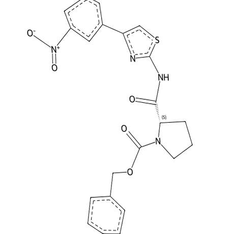 O=C(Nc1nc(-c2cccc([N+](=O)[O-])c2)cs1)[C@@H]1CCCN1C(=O)OCc1ccccc1